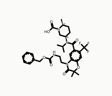 CC(C)N(C(=O)c1cc2c(cc1C(F)(F)F)OC(C)(C)C(=O)N2CCNC(=O)OCc1ccccc1)[C@@H]1CC[C@H](C)N(C(=O)O)C1